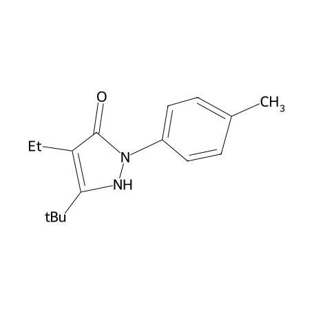 CCc1c(C(C)(C)C)[nH]n(-c2ccc(C)cc2)c1=O